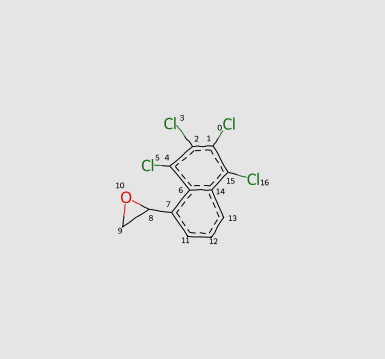 Clc1c(Cl)c(Cl)c2c(C3CO3)cccc2c1Cl